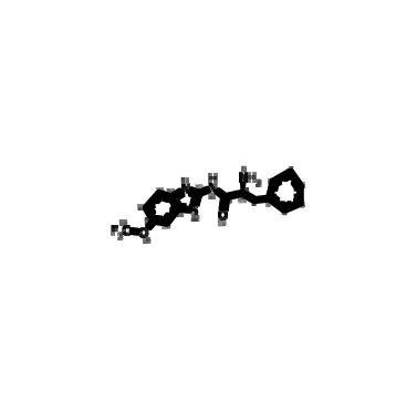 N[C@@H](Cc1ccccc1)C(=O)Nc1nc2ccc(OC(F)(F)F)cc2s1